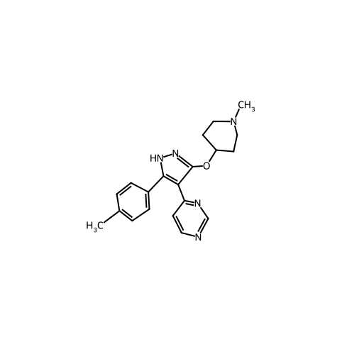 Cc1ccc(-c2[nH]nc(OC3CCN(C)CC3)c2-c2ccncn2)cc1